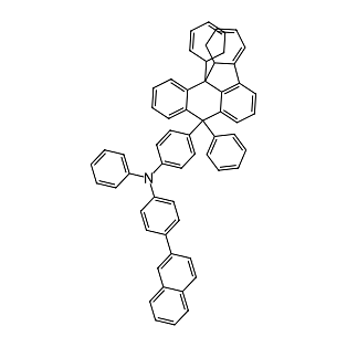 C1=CCC(C23c4ccccc4C(c4ccccc4)(c4ccc(N(c5ccccc5)c5ccc(-c6ccc7ccccc7c6)cc5)cc4)c4cccc(c42)C2=CC=CCC23)C=C1